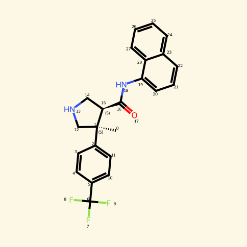 C[C@]1(c2ccc(C(F)(F)F)cc2)CNC[C@H]1C(=O)Nc1cccc2ccccc12